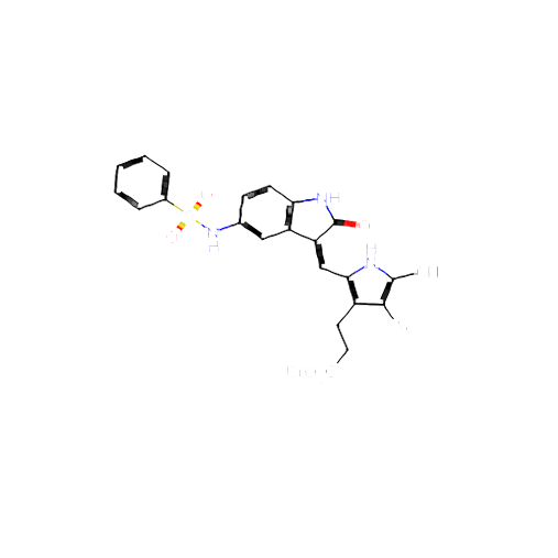 CCOC(=O)CCc1c(/C=C2\C(=O)Nc3ccc(NS(=O)(=O)c4ccccc4)cc32)[nH]c(C)c1C(C)=O